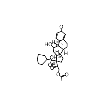 CC(=O)OCC(=O)[C@@]1(C(O)(O)C2CCCCC2)CC[C@H]2[C@@H]3CCC4=CC(=O)C=C[C@]4(C)[C@H]3C(O)C[C@@]21C